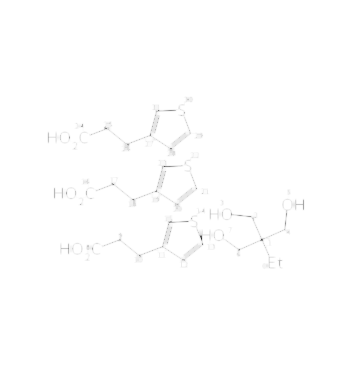 CCC(CO)(CO)CO.O=C(O)CCc1ccsc1.O=C(O)CCc1ccsc1.O=C(O)CCc1ccsc1